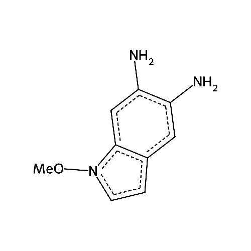 COn1ccc2cc(N)c(N)cc21